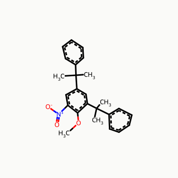 COc1c([N+](=O)[O-])cc(C(C)(C)c2ccccc2)cc1C(C)(C)c1ccccc1